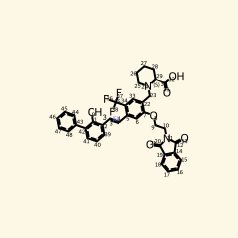 Cc1c(/C=C/c2cc(OCCN3C(=O)c4ccccc4C3=O)c(CN3CCCC[C@H]3C(=O)O)cc2C(F)(F)F)cccc1-c1ccccc1